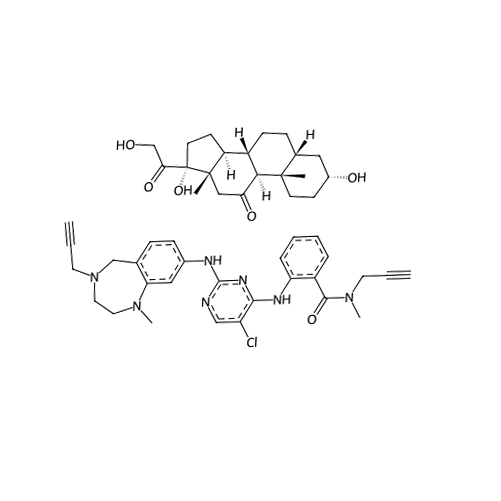 C#CCN1CCN(C)c2cc(Nc3ncc(Cl)c(Nc4ccccc4C(=O)N(C)CC#C)n3)ccc2C1.C[C@]12CC[C@@H](O)C[C@H]1CC[C@@H]1[C@@H]2C(=O)C[C@@]2(C)[C@H]1CC[C@]2(O)C(=O)CO